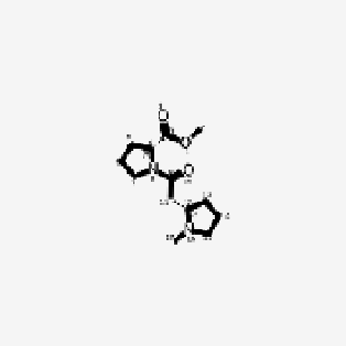 COC(=O)[C@H]1CCCN1C(=O)C[C@@H]1CCCN1C